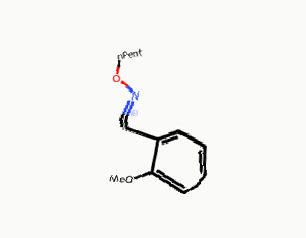 CCCCCO/N=[C]/c1ccccc1OC